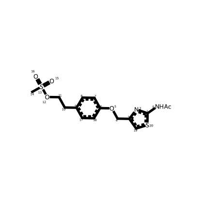 CC(=O)Nc1nc(COc2ccc(CCOS(C)(=O)=O)cc2)cs1